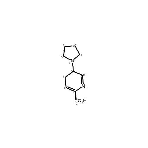 O=C(O)C1=CCC(N2CCCC2)C=N1